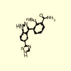 CCCCc1c(C(N)=O)cccc1-c1n[nH]c2ccc(-c3nc[nH]n3)cc12